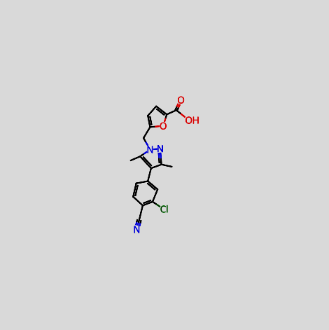 Cc1nn(Cc2ccc(C(=O)O)o2)c(C)c1-c1ccc(C#N)c(Cl)c1